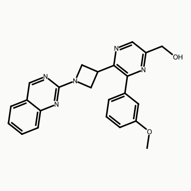 COc1cccc(-c2nc(CO)cnc2C2CN(c3ncc4ccccc4n3)C2)c1